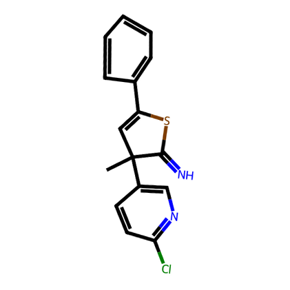 CC1(c2ccc(Cl)nc2)C=C(c2ccccc2)SC1=N